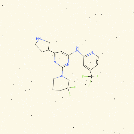 FC1(F)CCCN(c2nc(Nc3cc(C(F)(F)F)ccn3)cc(C3CCNC3)n2)C1